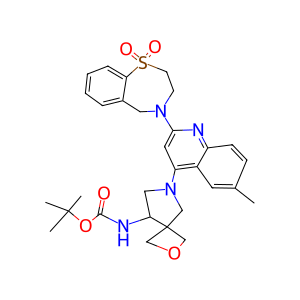 Cc1ccc2nc(N3CCS(=O)(=O)c4ccccc4C3)cc(N3CC(NC(=O)OC(C)(C)C)C4(COC4)C3)c2c1